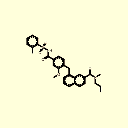 CCCN(C)C(=O)c1ccc2cccc(Cc3ccc(C(=O)NS(=O)(=O)c4ccccc4C)cc3OC)c2c1